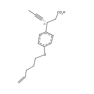 C=CCCCOc1ccc([C@H](C#CC)CC(=O)O)cc1